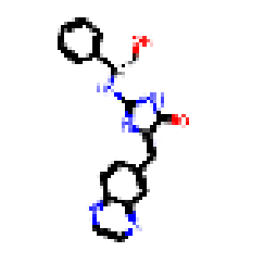 O=C1NC(N[C@@H](CO)c2ccccc2)=N/C1=C\c1ccc2nccnc2c1